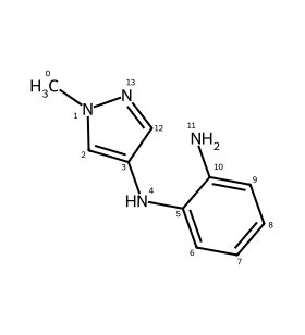 Cn1cc(Nc2ccccc2N)cn1